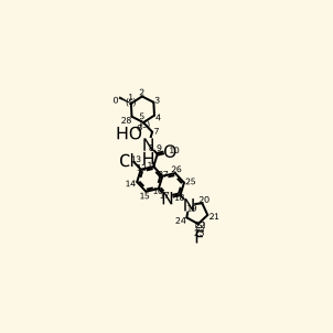 C[C@H]1CCC[C@@](O)(CNC(=O)c2c(Cl)ccc3nc(N4CC[C@H](F)C4)ccc23)C1